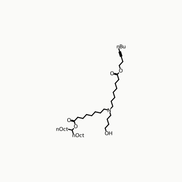 CCCCC#CCCOC(=O)CCCCCCCN(CCCCO)CCCCCCCC(=O)OC(CCCCCCCC)CCCCCCCC